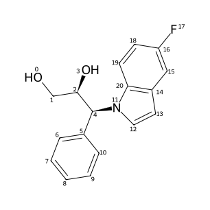 OC[C@@H](O)[C@H](c1ccccc1)n1ccc2cc(F)ccc21